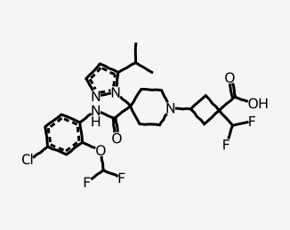 CC(C)c1ccnn1C1(C(=O)Nc2ccc(Cl)cc2OC(F)F)CCN(C2CC(C(=O)O)(C(F)F)C2)CC1